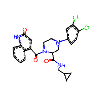 O=C(NCC1CC1)C1CN(c2ccc(Cl)c(Cl)c2)CCN1C(=O)c1cc(=O)[nH]c2ccccc12